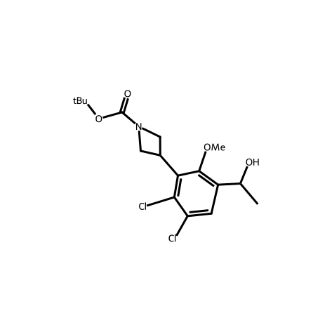 COc1c(C(C)O)cc(Cl)c(Cl)c1C1CN(C(=O)OC(C)(C)C)C1